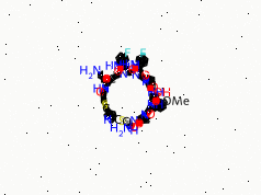 COc1ccc(C[C@@H]2NC(=O)[C@H]([C@@H](C)O)NC(=O)[C@@H]3CCCN3C(=O)[C@H](Cc3c[nH]c4cc(F)ccc34)NC(=O)[C@H](Cc3c[nH]c4ccc(F)cc34)NC(=O)[C@@H](C)CC(=O)[C@H](CCCCN)NC(=O)CCSCc3cncc(c3)CSC[C@@H](C(N)=O)NC(=O)[C@]3(C)CCCN3C2=O)cc1